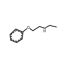 [CH2]CNCCOc1ccccc1